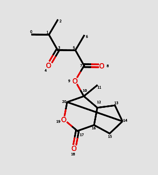 CC(C)C(=O)C(C)C(=O)OC1(C)C2CC3CC2C(=O)OC31